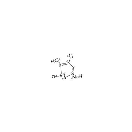 OC1=C(Cl)C=NNN1Cl.[NaH]